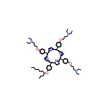 CCCCCCC(CCC)Oc1ccc(-c2c3nc(c(-c4ccc(OCCCN(CC)CC)cc4)c4ccc([nH]4)c(-c4ccc(OCCCN(CC)CC)cc4)c4nc(c(-c5ccc(OCCCN(CC)CC)cc5)c5ccc2[nH]5)C=C4)C=C3)cc1